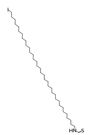 S=C(S)NCCCCCCCCCCCCCCCCCCCCCCCCCCCCCCCCCCCI